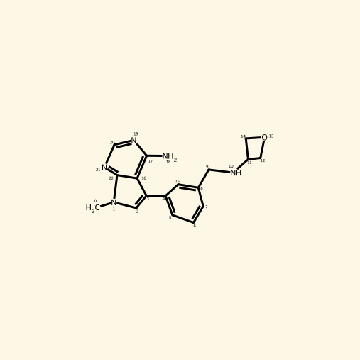 Cn1cc(-c2cccc(CNC3COC3)c2)c2c(N)ncnc21